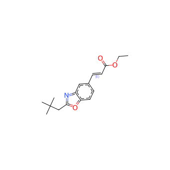 CCOC(=O)/C=C/c1ccc2oc(CC(C)(C)C)nc2c1